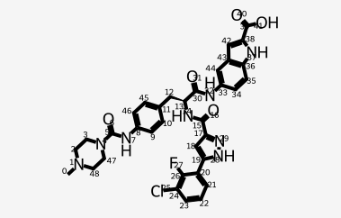 CN1CCN(C(=O)Nc2ccc(C[C@H](NC(=O)c3cc(-c4cccc(Cl)c4F)[nH]n3)C(=O)Nc3ccc4[nH]c(C(=O)O)cc4c3)cc2)CC1